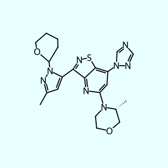 Cc1cc(-c2nsc3c(-n4cncn4)cc(N4CCOC[C@H]4C)nc23)n(C2CCCCO2)n1